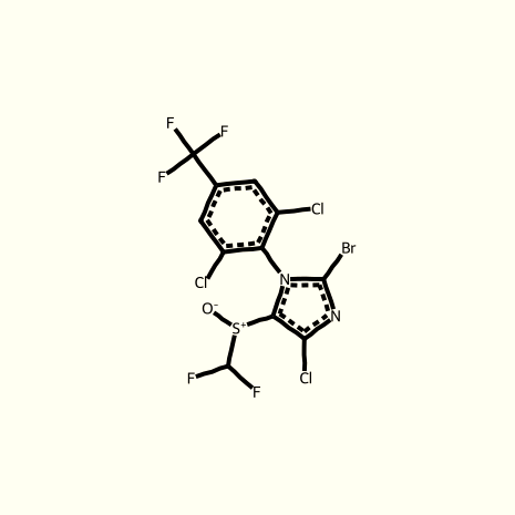 [O-][S+](c1c(Cl)nc(Br)n1-c1c(Cl)cc(C(F)(F)F)cc1Cl)C(F)F